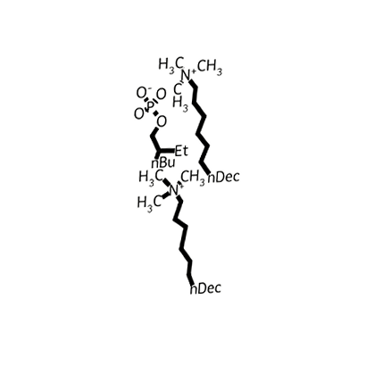 CCCCC(CC)COP(=O)([O-])[O-].CCCCCCCCCCCCCCCC[N+](C)(C)C.CCCCCCCCCCCCCCCC[N+](C)(C)C